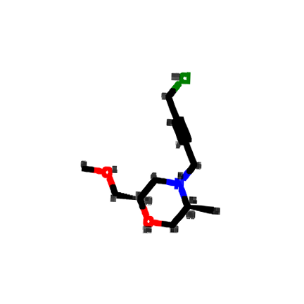 COC[C@@H]1CN(CC#CCCl)[C@@H](C)CO1